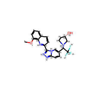 COc1cccc2ccc(-c3nnc4ccc(C(N5CC[C@H](O)C5)C(F)(F)F)cn34)nc12